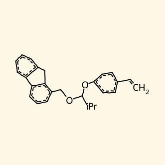 C=Cc1ccc(OC(OCc2cccc3c2Cc2ccccc2-3)C(C)C)cc1